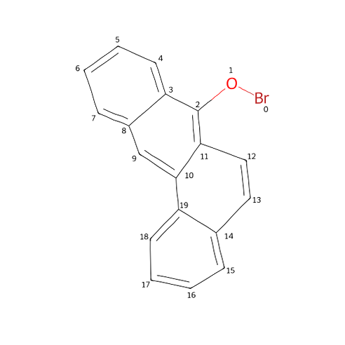 BrOc1c2ccccc2cc2c1ccc1ccccc12